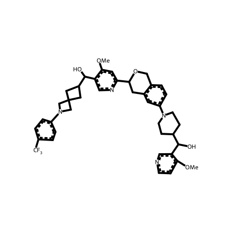 COc1ccncc1C(O)C1CCN(c2ccc3c(c2)CC(c2cc(OC)c(C(O)C4CC5(C4)CN(c4ccc(C(F)(F)F)cc4)C5)cn2)OC3)CC1